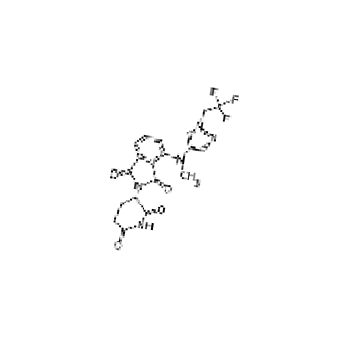 CN(c1cnn(CC(F)(F)F)c1)c1cccc2c1C(=O)N(C1CCC(=O)NC1=O)C2=O